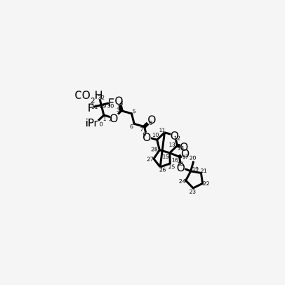 CC(C)C(OC(=O)CCC(=O)OC1C2OC(=O)C3(C(=O)OC4(C)CCCC4)CC2CC13)C(F)(F)C(=O)O